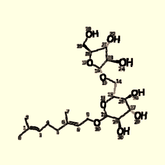 CC(C)=CCC/C(C)=C/COC1O[C@H](CO[C@@H]2O[C@@H](CO)[C@H](O)[C@H]2O)[C@@H](O)[C@H](O)[C@H]1O